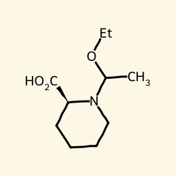 CCOC(C)N1CCCC[C@H]1C(=O)O